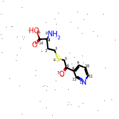 N[C@@H](CCSCC(=O)c1cccnc1)C(=O)O